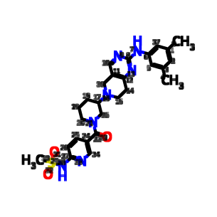 Cc1cc(C)cc(Nc2ncc3c(n2)CCN(C2CCCN(C(=O)c4ccc(NS(C)(=O)=O)nc4)C2)C3)c1